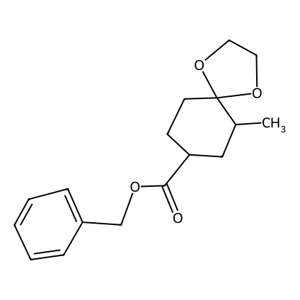 CC1CC(C(=O)OCc2ccccc2)CCC12OCCO2